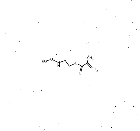 C=C(C)C(=O)OCCNOC(C)CC